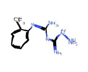 N=C([N]C(N)=Nc1ccccc1C(F)(F)F)NN